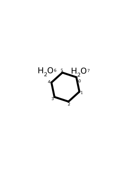 C1CCCCC1.O.O